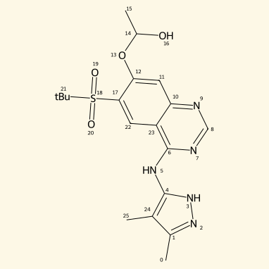 Cc1n[nH]c(Nc2ncnc3cc(OC(C)O)c(S(=O)(=O)C(C)(C)C)cc23)c1C